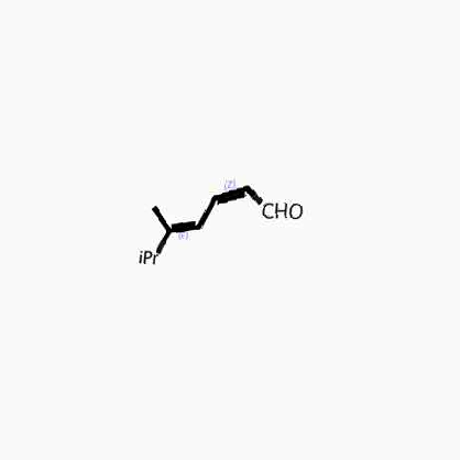 C/C(=C\C=C/C=O)C(C)C